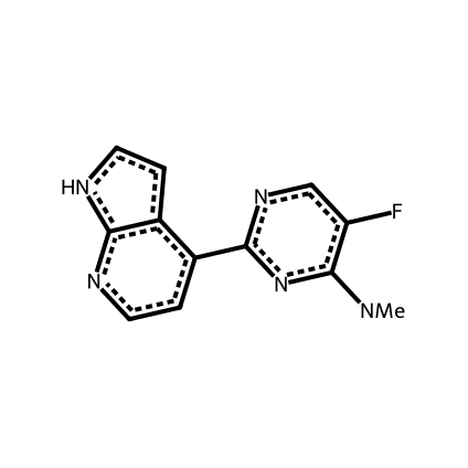 CNc1nc(-c2ccnc3[nH]ccc23)ncc1F